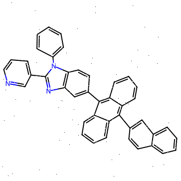 c1ccc(-n2c(-c3cccnc3)nc3cc(-c4c5ccccc5c(-c5ccc6ccccc6c5)c5ccccc45)ccc32)cc1